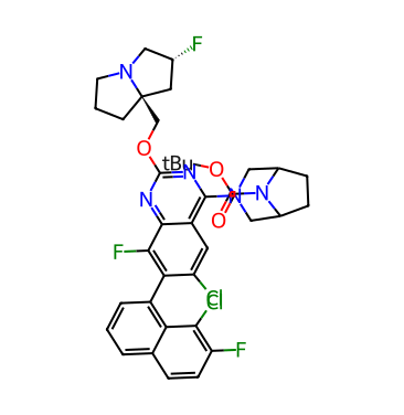 CC(C)(C)OC(=O)N1C2CCC1CN(c1nc(OC[C@@]34CCCN3C[C@H](F)C4)nc3c(F)c(-c4cccc5ccc(F)c(Cl)c45)c(Cl)cc13)C2